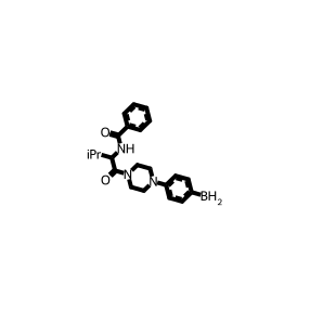 Bc1ccc(N2CCN(C(=O)C(NC(=O)c3ccccc3)C(C)C)CC2)cc1